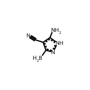 Bc1n[nH]c(N)c1C#N